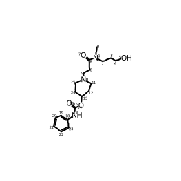 CN(CCCO)C(=O)CCN1CCC(OC(=O)Nc2ccccc2)CC1